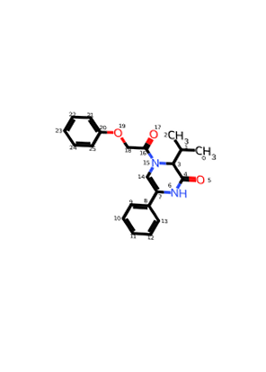 CC(C)C1C(=O)NC(c2ccccc2)=CN1C(=O)COc1ccccc1